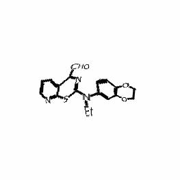 CCN(C1=NC(C=O)c2cccnc2S1)c1ccc2c(c1)OCCO2